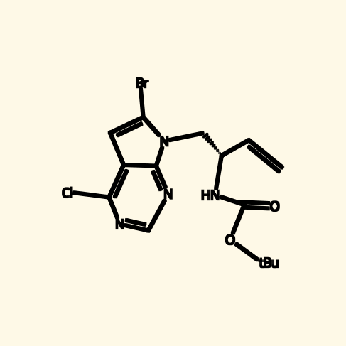 C=C[C@@H](Cn1c(Br)cc2c(Cl)ncnc21)NC(=O)OC(C)(C)C